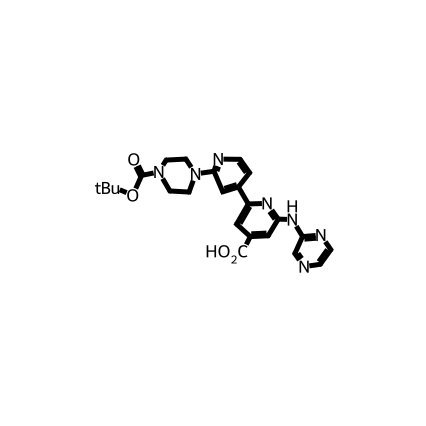 CC(C)(C)OC(=O)N1CCN(c2cc(-c3cc(C(=O)O)cc(Nc4cnccn4)n3)ccn2)CC1